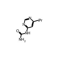 CC(C)c1cc(NC(N)=O)ncn1